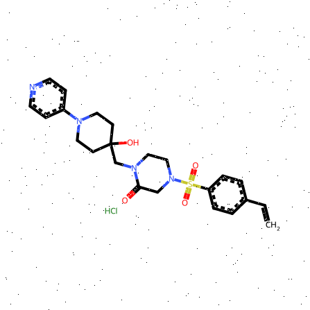 C=Cc1ccc(S(=O)(=O)N2CCN(CC3(O)CCN(c4ccncc4)CC3)C(=O)C2)cc1.Cl